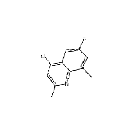 Cc1cc(Cl)c2cc(F)cc(C)c2n1